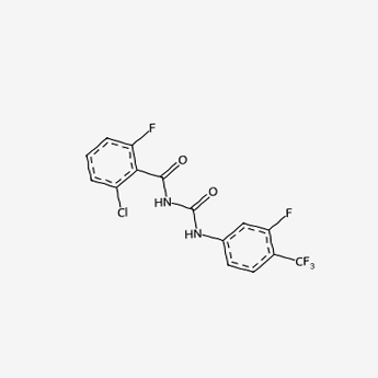 O=C(NC(=O)c1c(F)cccc1Cl)Nc1ccc(C(F)(F)F)c(F)c1